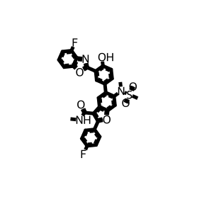 CNC(=O)c1c(-c2ccc(F)cc2)oc2cc(N(C)S(C)(=O)=O)c(-c3ccc(O)c(-c4nc5c(F)cccc5o4)c3)cc12